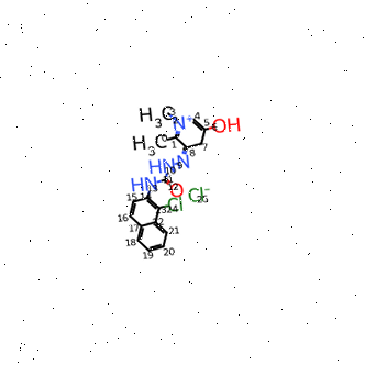 CC1=[N+](C)C=C(O)CC1=NNC(=O)Nc1ccc2ccccc2c1Cl.[Cl-]